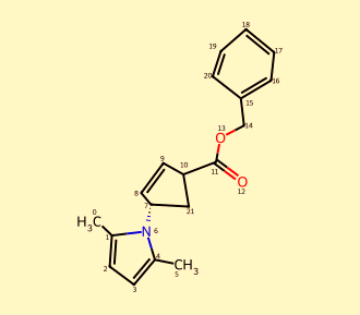 Cc1ccc(C)n1[C@@H]1C=CC(C(=O)OCc2ccccc2)C1